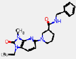 Cn1c(=O)n(CC(C)(C)C)c2ccc(N3CCCC(C(=O)NCc4ccccc4)C3)nc21